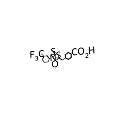 O=C(O)c1ccc(/C=C2\SC(=S)N(C3=CC(C(F)(F)F)=CCC3)C2=O)cc1